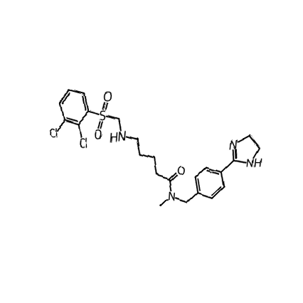 CN(Cc1ccc(C2=NCCN2)cc1)C(=O)CCCCNCS(=O)(=O)c1cccc(Cl)c1Cl